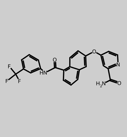 NC(=O)c1cc(Oc2ccc3c(C(=O)Nc4cccc(C(F)(F)F)c4)cccc3c2)ccn1